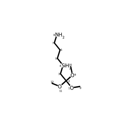 COC(C[SiH2]CCCN)(OC)OC